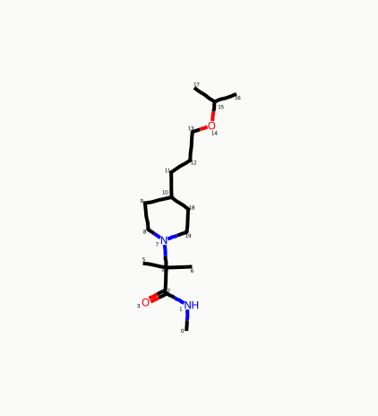 CNC(=O)C(C)(C)N1CCC(CCCOC(C)C)CC1